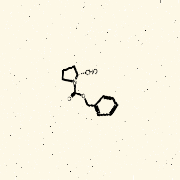 O=C[C@H]1CCCN1C(=O)OCc1ccccc1